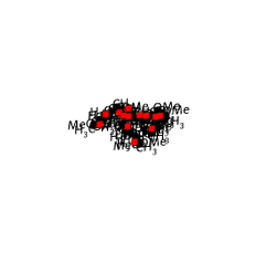 CCC(O[Si](C)(C)C(CC)(CC)O[Si](C)(C)O[Si](C)(O)O[Si](C)(O[Si](C)(OC)O[Si](C)(C)OC(C)(CC)[Si](C)(C)OC(C)(CC)[Si](C)(C)O[Si](C)(OC)OC)O[Si](C)(C)C(C)(CC)O[Si](C)(C)C(CC)(CC)O[Si](C)(C)O[Si](C)(OC)O[Si](C)(OC)O[Si](C)(C)O[Si]1(C)C[C@@]1(CC)O[Si](C)(C)O[Si](C)(OC)OC)[Si](C)(C)O[Si](C)(OC)OC